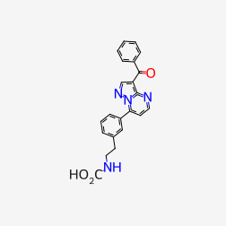 O=C(O)NCCc1cccc(-c2ccnc3c(C(=O)c4ccccc4)cnn23)c1